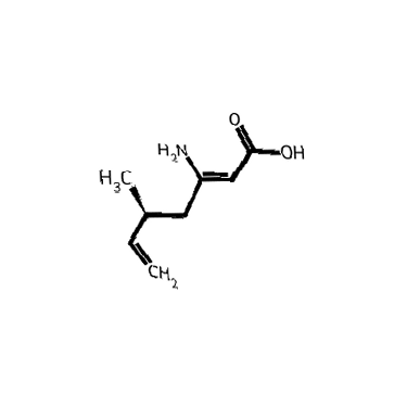 C=C[C@@H](C)CC(N)=CC(=O)O